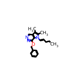 CCCC=Cn1c(C)c(C)c2cnnc(OCc3ccccc3)c21